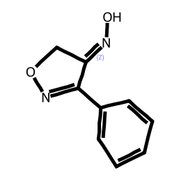 O/N=C1\CON=C1c1ccccc1